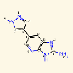 Cn1cc(-c2cnc3[nH]c(N)nc3c2)cn1